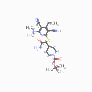 CCc1c(C#N)c(SC(C(N)=O)C2CCN(C(=O)OC(C)(C)C)CC2)nc(N(C)C)c1C#N